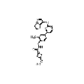 Cc1cc(-c2ccnc(Nc3cnn4c3CCC4)n2)ccc1CNC(=O)N1CC(OC(C)(C)C)C1